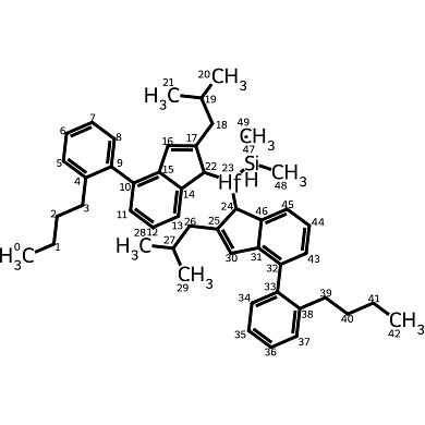 CCCCc1ccccc1-c1cccc2c1C=C(CC(C)C)[CH]2[Hf]([CH]1C(CC(C)C)=Cc2c(-c3ccccc3CCCC)cccc21)[SiH](C)C